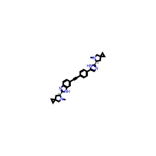 CN1CC2(CC2)C[C@H]1c1ncc(-c2ccc(C#Cc3ccc4nc([C@@H]5CC6(CC6)CN5C)[nH]c4c3)cc2)[nH]1